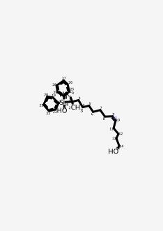 CC(C)(CCCCCC/C=C\CCCCO)[Si](O)(c1ccccc1)c1ccccc1